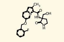 Cc1cc2ccc(OCc3ccccc3F)cn2c1C(=O)NC1(CO)CCNC1=O